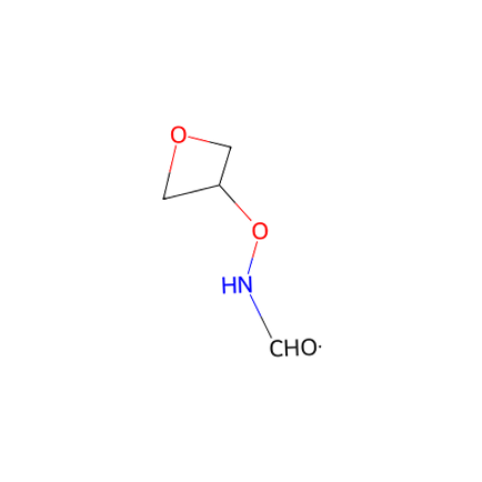 O=[C]NOC1COC1